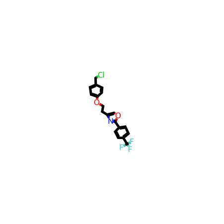 FC(F)(F)c1ccc(-c2nc(CCOc3ccc(CCl)cc3)co2)cc1